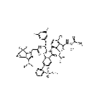 CC(=O)[S+]([O-])Nc1nn(CC(F)F)c2c(-n3c([C@H](Cc4cc(F)cc(F)c4)NC(=O)Cn4nc(C(F)F)c5c4C(F)(F)C4CC54)nc4cc(-c5ccccc5S(C)(=O)=O)ccc4c3=O)ccc(Cl)c12